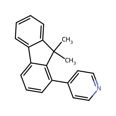 CC1(C)c2ccccc2-c2cccc(-c3ccncc3)c21